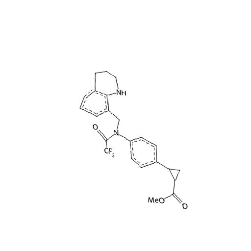 COC(=O)C1CC1c1ccc(N(Cc2cccc3c2NCCC3)C(=O)C(F)(F)F)cc1